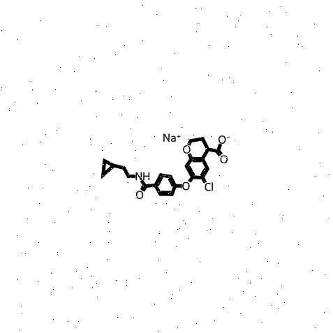 O=C(NCCC1CC1)c1ccc(Oc2cc3c(cc2Cl)C(C(=O)[O-])CCO3)cc1.[Na+]